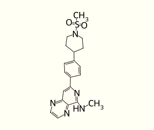 CNc1nc(-c2ccc(C3CCN(S(C)(=O)=O)CC3)cc2)cc2nccnc12